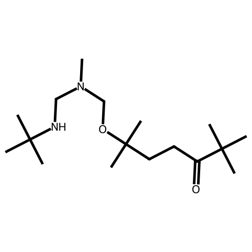 CN(CNC(C)(C)C)COC(C)(C)CCC(=O)C(C)(C)C